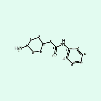 NC1CCC(CC(=O)Nc2ccccc2)CC1